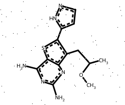 COC(C)Cc1c(-c2ccn[nH]2)sc2c(N)nc(N)nc12